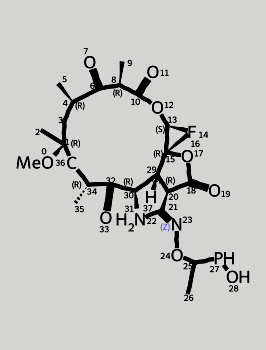 CO[C@@]1(C)C[C@@H](C)C(=O)[C@@H](C)C(=O)O[C@@H](F)[C@]2(C)OC(=O)[C@@H](/C(N)=N/OC(C)PO)[C@@H]2[C@@H](C)C(=O)[C@H](C)C1